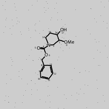 COC1CN(C(=O)OCc2ccccc2)CCC1O